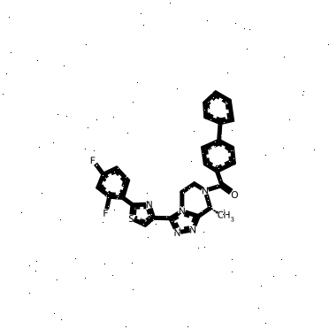 C[C@@H]1c2nnc(-c3csc(-c4ccc(F)cc4F)n3)n2CCN1C(=O)c1ccc(-c2ccccc2)cc1